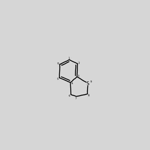 [c]1ccc2c(c1)CCCS2